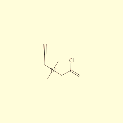 C#CC[N+](C)(C)CC(=C)Cl